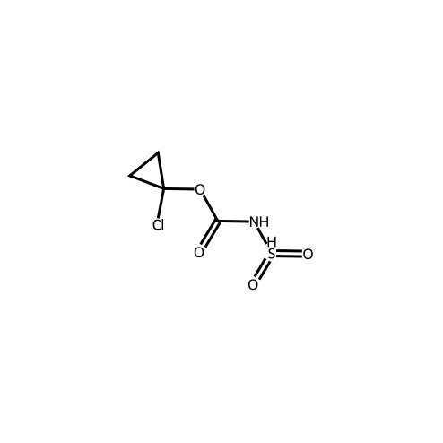 O=C(N[SH](=O)=O)OC1(Cl)CC1